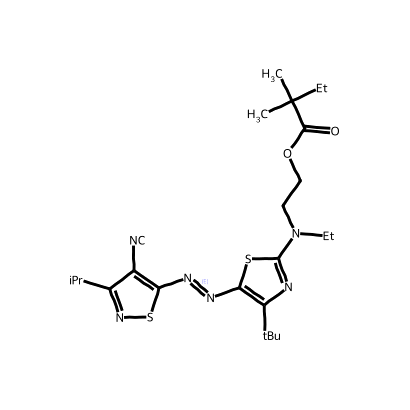 [C-]#[N+]c1c(C(C)C)nsc1/N=N/c1sc(N(CC)CCOC(=O)C(C)(C)CC)nc1C(C)(C)C